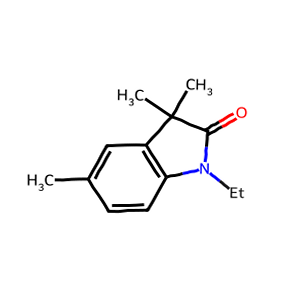 CCN1C(=O)C(C)(C)c2cc(C)ccc21